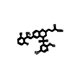 CCOc1ncc(C(F)(F)F)cc1S(=O)(=O)N1CC(CCC(=O)OC)Oc2ccc(C=C(C)c3c(F)cccc3Cl)cc21